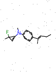 CCC=C(C)c1ccc(N(C)C2=CC2(C)F)cc1